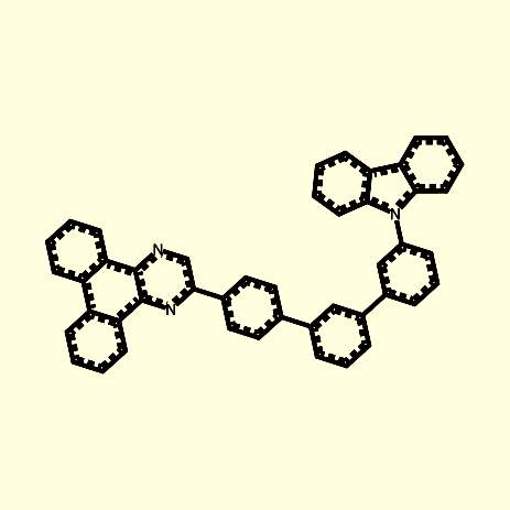 c1cc(-c2ccc(-c3cnc4c5ccccc5c5ccccc5c4n3)cc2)cc(-c2cccc(-n3c4ccccc4c4ccccc43)c2)c1